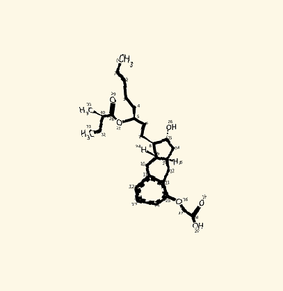 CCCCC[C@@H](CC[C@@H]1[C@H]2Cc3cccc(OCC(=O)O)c3C[C@H]2C[C@H]1O)OC(=O)[C@H](C)CC